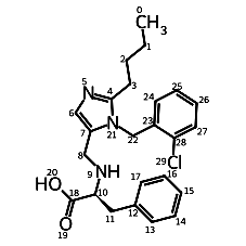 CCCCc1ncc(CN[C@@H](Cc2ccccc2)C(=O)O)n1Cc1ccccc1Cl